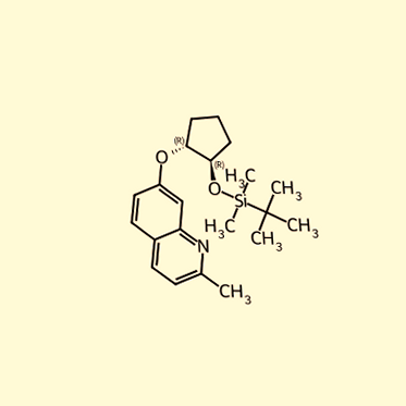 Cc1ccc2ccc(O[C@@H]3CCC[C@H]3O[Si](C)(C)C(C)(C)C)cc2n1